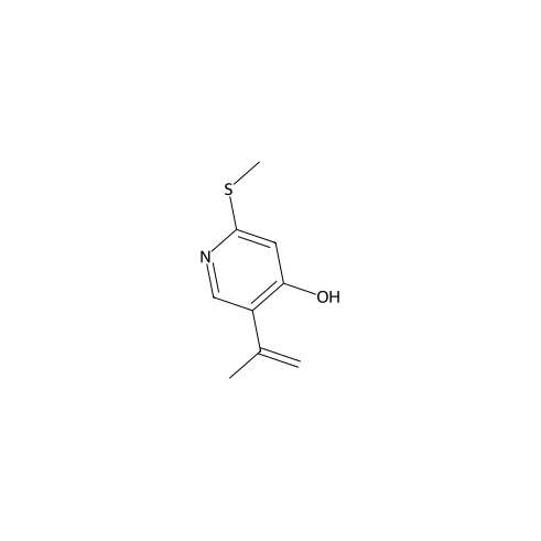 C=C(C)c1cnc(SC)cc1O